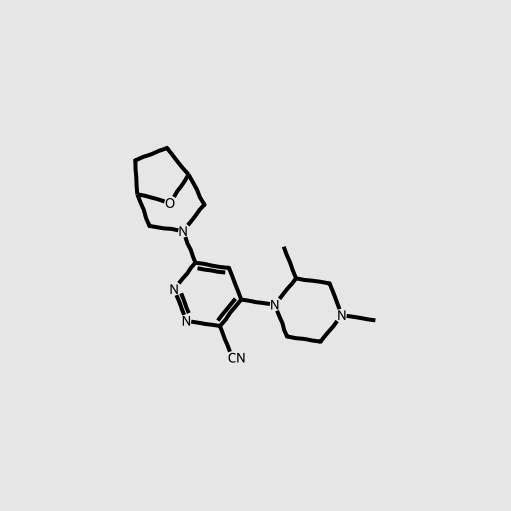 CC1CN(C)CCN1c1cc(N2CC3CCC(C2)O3)nnc1C#N